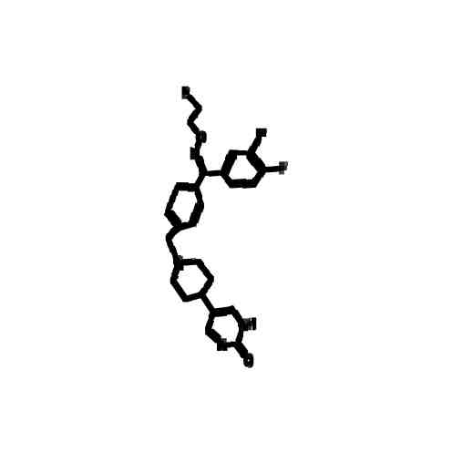 O=c1ncc(C2CCN(Cc3ccc(C(=NOCCF)c4ccc(F)c(F)c4)cc3)CC2)c[nH]1